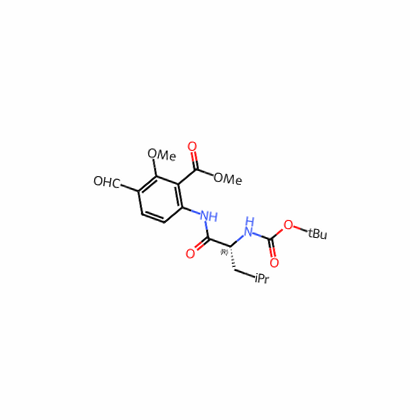 COC(=O)c1c(NC(=O)[C@@H](CC(C)C)NC(=O)OC(C)(C)C)ccc(C=O)c1OC